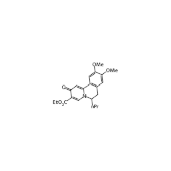 CCCC1Cc2cc(OC)c(OC)cc2-c2cc(=O)c(C(=O)OCC)cn21